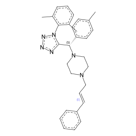 Cc1ccc([C@@H](c2nnnn2-c2c(C)cccc2C)N2CCN(C/C=C/c3ccccc3)CC2)cc1